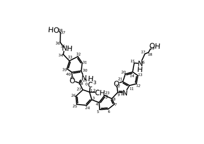 CC1(C)C(c2cccc(-c3nc4ccc(CNCCO)cc4o3)c2)=CC=CC1c1nc2ccc(CNCCO)cc2o1